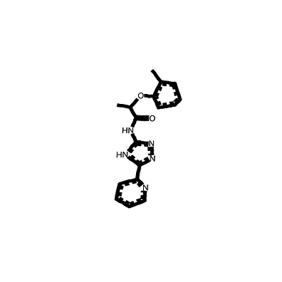 Cc1ccccc1OC(C)C(=O)Nc1nnc(-c2ccccn2)[nH]1